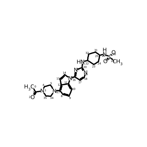 CC(=O)N1CCN(c2cccc3c2ccn3-c2ccnc(NC3CCC(NS(C)(=O)=O)CC3)n2)CC1